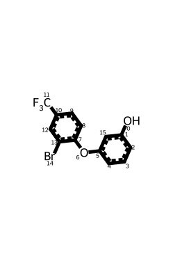 Oc1cccc(Oc2ccc(C(F)(F)F)cc2Br)c1